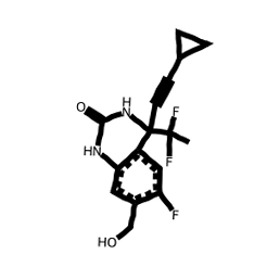 CC(F)(F)C1(C#CC2CC2)NC(=O)Nc2cc(CO)c(F)cc21